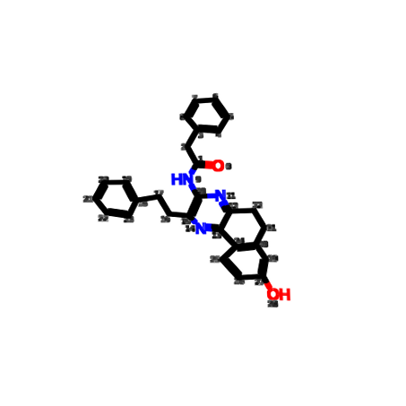 O=C(Cc1ccccc1)Nc1nc2c(nc1CCc1ccccc1)-c1ccc(O)cc1CC2